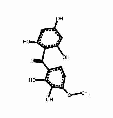 COc1ccc(C(=O)c2c(O)cc(O)cc2O)c(O)c1O